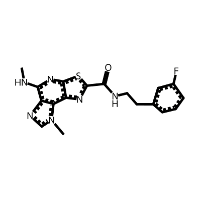 CNc1nc2sc(C(=O)NCCc3cccc(F)c3)nc2c2c1ncn2C